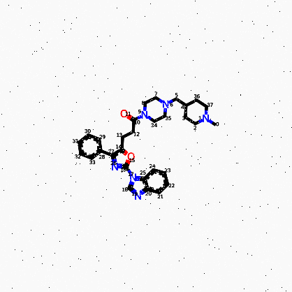 CN1CCC(CN2CCN(C(=O)CCc3oc(-n4cnc5ccccc54)nc3-c3ccccc3)CC2)CC1